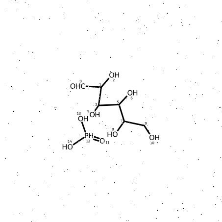 O=CC(O)C(O)C(O)C(O)CO.O=[PH](O)O